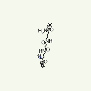 C/N=C/C(CCCNC(=O)CCC(=O)NCCCC[C@@H](N)C(=O)OC(C)(C)C)C(=O)OB1CC1